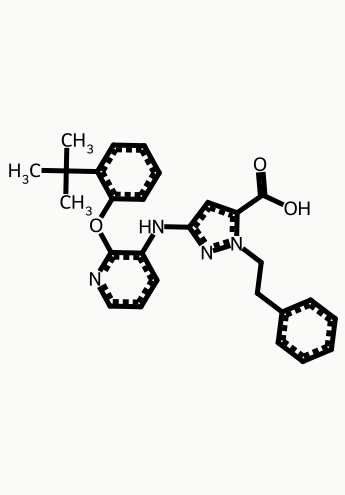 CC(C)(C)c1ccccc1Oc1ncccc1Nc1cc(C(=O)O)n(CCc2ccccc2)n1